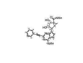 CNC(=O)C12CC1[C@@H](n1cnc3c(NC)nc(C#Cc4cccnc4)nc31)[C@H](O)[C@@H]2O